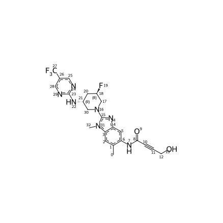 Cc1cc2c(cc1NC(=O)C#CCO)nc(N1C[C@H](F)C[C@@H](Nc3ncc(C(F)(F)F)cn3)C1)n2C